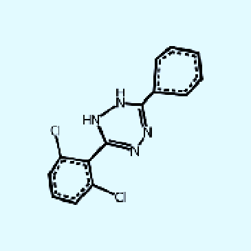 Clc1cccc(Cl)c1C1=NN=C(c2ccccc2)NN1